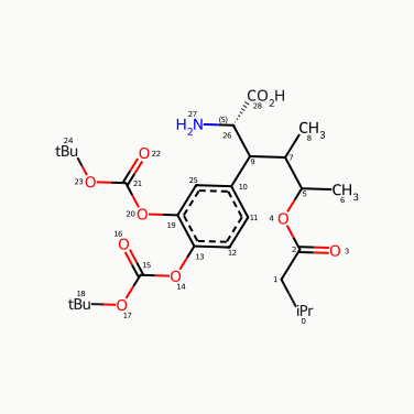 CC(C)CC(=O)OC(C)C(C)C(c1ccc(OC(=O)OC(C)(C)C)c(OC(=O)OC(C)(C)C)c1)[C@H](N)C(=O)O